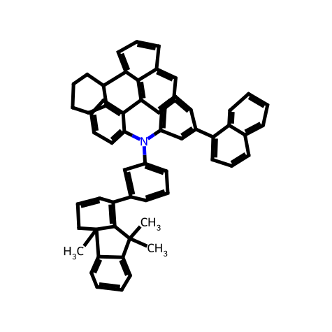 CC1(C)C2=C(c3cccc(N(c4cccc(-c5cccc6ccccc56)c4)c4ccccc4-c4cccc5cccc(C6CCCCC6)c45)c3)C=CCC2(C)c2ccccc21